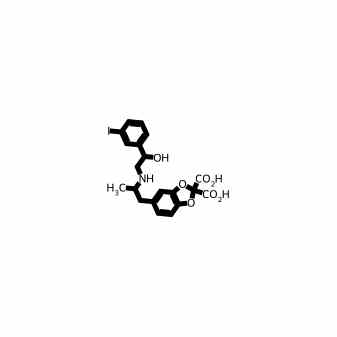 CC(Cc1ccc2c(c1)OC(C(=O)O)(C(=O)O)O2)NCC(O)c1cccc(I)c1